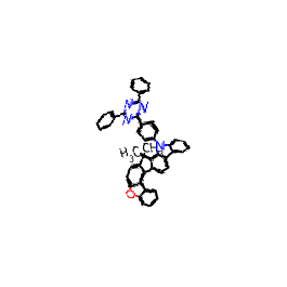 CC1(C)c2ccc3oc4ccccc4c3c2-c2ccc3c4ccccc4n(-c4ccc(-c5nc(-c6ccccc6)nc(-c6ccccc6)n5)cc4)c3c21